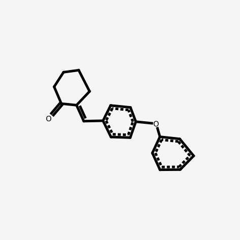 O=C1CCCC/C1=C\c1ccc(Oc2ccccc2)cc1